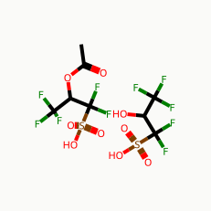 CC(=O)OC(C(F)(F)F)C(F)(F)S(=O)(=O)O.O=S(=O)(O)C(F)(F)C(O)C(F)(F)F